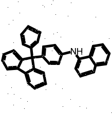 c1ccc(C2(c3ccc(Nc4cccc5ccccc45)cc3)c3ccccc3-c3ccccc32)cc1